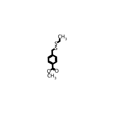 CCSSCc1ccc(C(=O)OC)cc1